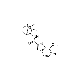 COc1c(Cl)ccc2cc(C(=O)NC3C4CCN(CC4)C3(C)C)sc12